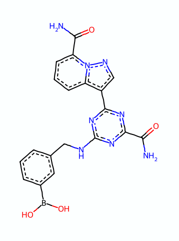 NC(=O)c1nc(NCc2cccc(B(O)O)c2)nc(-c2cnn3c(C(N)=O)cccc23)n1